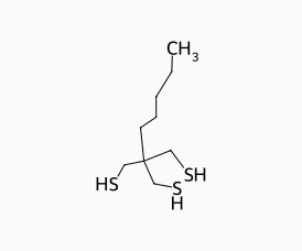 CCCCCC(CS)(CS)CS